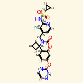 O=C1Oc2cc(Oc3nccnn3)ccc2C2(CCC2)N1Cc1ccnc(NS(=O)(=O)C2CC2)c1F